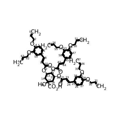 C=CCOc1ccc(/C=C/C(=O)O[C@@H]2C[C@](O)(C(=O)O)C[C@@H](OC(=O)/C=C/c3ccc(OCC=C)c(OCC=C)c3)[C@H]2OC(=O)/C=C/c2ccc(OCC=C)c(OCC=C)c2)cc1OCC=C